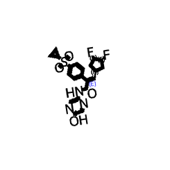 O=C(Nc1cnc(O)cn1)/C(=C/[C@H]1C[C@@H](F)[C@@H](F)C1)c1ccc(S(=O)(=O)C2CC2)cc1